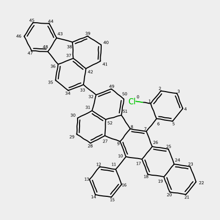 Clc1ccccc1-c1c2c(c(-c3ccccc3)c3cc4ccccc4cc13)-c1cccc3c(-c4ccc5c6c(cccc46)-c4ccccc4-5)ccc-2c13